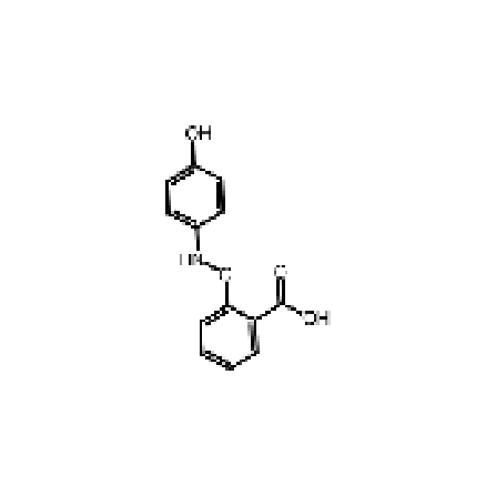 O=C(O)c1ccccc1ONc1ccc(O)cc1